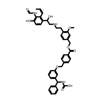 C/C=C\c1c(C(O)CNCCc2ccc(COC(=O)c3ccc(COc4cccc(C(NC(=O)O)c5ccccc5)c4)cc3)cc2OC)ccc(O)c1NC=O